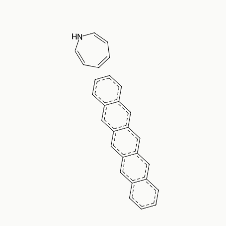 C1=CC=CNC=C1.c1ccc2cc3cc4cc5ccccc5cc4cc3cc2c1